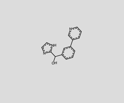 OC(c1cccc(-c2cccnc2)c1)c1ncc[nH]1